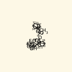 CC1(OC(=O)COC(=O)C23CC4CC(CC(OC(=O)C(F)(F)S(=O)(=O)O)(C4)C2)C3)C2CC3CC(C2)CC1C3